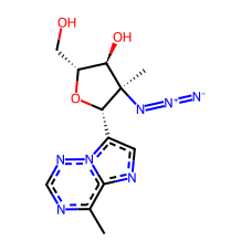 Cc1ncnn2c([C@@H]3O[C@H](CO)[C@@H](O)[C@@]3(C)N=[N+]=[N-])cnc12